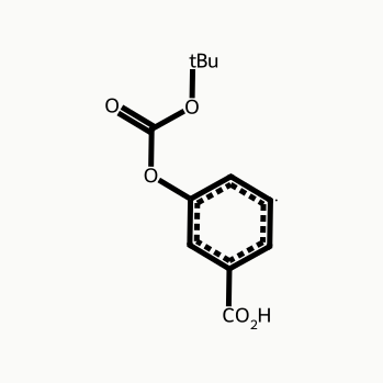 CC(C)(C)OC(=O)Oc1c[c]cc(C(=O)O)c1